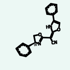 N#CC(C1=N[C@@H](c2ccccc2)CO1)=C1NC(c2ccccc2)=CO1